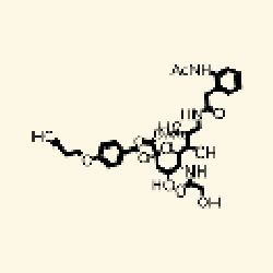 C#CCCOc1ccc(CO[C@]2(C(=O)OC)C[C@H](O)[C@@H](NC(=O)CO)[C@H]([C@H](O)[C@H](O)CNC(=O)Cc3ccccc3NC(C)=O)O2)cc1